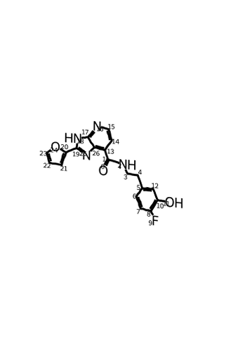 O=C(NCCc1ccc(F)c(O)c1)c1ccnc2[nH]c(-c3ccco3)nc12